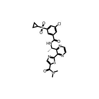 C[C@H](NC(=O)c1cc(Cl)cc(S(=O)(=O)C2CC2)c1)c1nccnc1-c1ncc(C(=O)N(C)C)s1